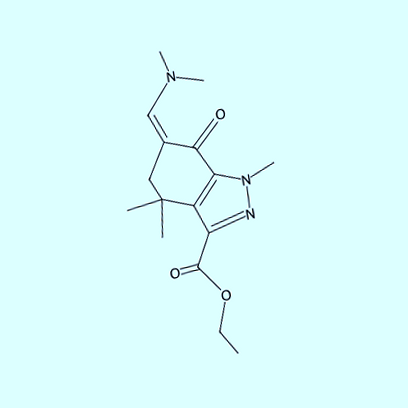 CCOC(=O)c1nn(C)c2c1C(C)(C)CC(=CN(C)C)C2=O